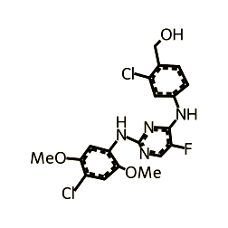 COc1cc(Nc2ncc(F)c(Nc3ccc(CO)c(Cl)c3)n2)c(OC)cc1Cl